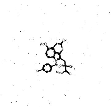 COC(=O)C(C)(C)Cc1c2c3c(c(OC(C)=O)ccc3n1Cc1ccc(Cl)cc1)CC(C)S2